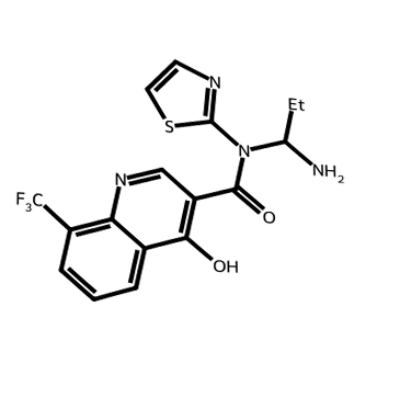 CCC(N)N(C(=O)c1cnc2c(C(F)(F)F)cccc2c1O)c1nccs1